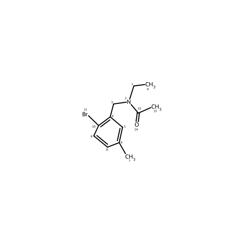 CCN(Cc1cc(C)ccc1Br)C(C)=O